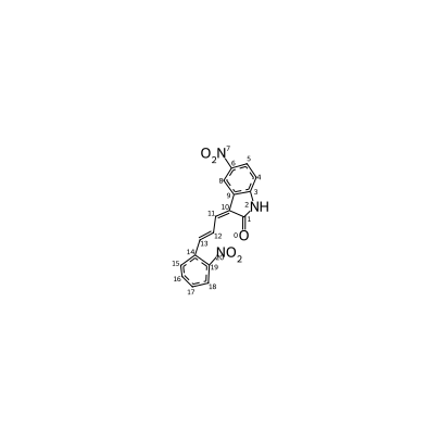 O=C1Nc2ccc([N+](=O)[O-])cc2/C1=C/C=C/c1ccccc1[N+](=O)[O-]